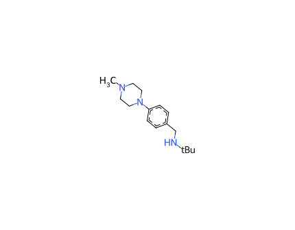 CN1CCN(c2ccc(CNC(C)(C)C)cc2)CC1